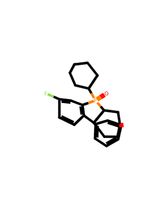 O=P(c1cc(F)ccc1-c1ccccc1)(C1CCCCC1)C1CCCCC1